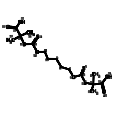 CC(C)(SC(=S)OCCCCCOC(=S)SC(C)(C)C(=O)O)C(=O)O